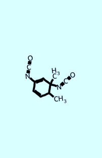 CC1C=CC(N=C=O)=CC1(C)N=C=O